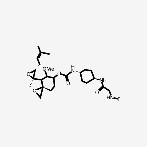 COC1C(OC(=O)N[C@H]2CC[C@H](NC(=O)CNF)CC2)CC[C@]2(CO2)C1[C@@]1(C)O[C@@H]1CC=C(C)C